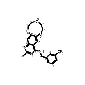 Cc1nc(NCc2cccc(C(F)(F)F)c2)c2cc3c(cc2n1)OCCOCCO3